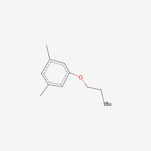 Cc1cc(C)cc(OCCC(C)(C)C)c1